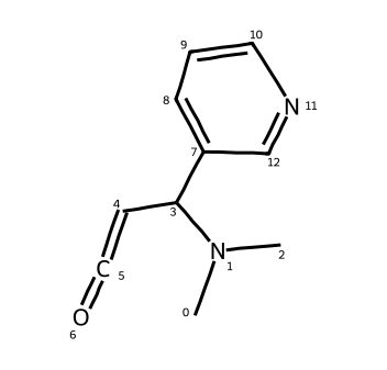 CN(C)C(C=C=O)c1cccnc1